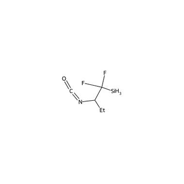 CCC(N=C=O)C(F)(F)[SiH3]